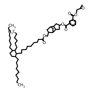 CCCCCCCCCC1CCC(CCCCCCCC)C(CCCCCC)C1CCCCCCCCC(=O)OCC1CC2CC1C1CC(OC(=O)c3cccc(C(=O)OCC4CO4)c3)CC21